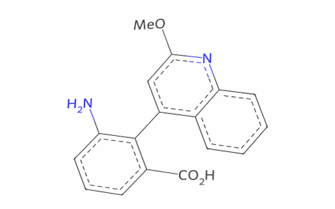 COc1cc(-c2c(N)cccc2C(=O)O)c2ccccc2n1